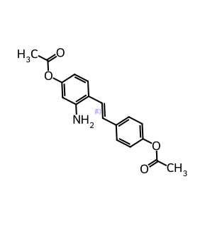 CC(=O)Oc1ccc(/C=C/c2ccc(OC(C)=O)cc2N)cc1